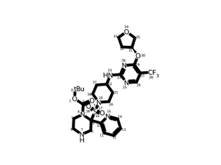 CC(C)(C)OC(=O)N1CCNCC1(c1ccccn1)S(=O)(=O)N1CCC(Nc2ncc(C(F)(F)F)c(O[C@H]3CCOC3)n2)CC1